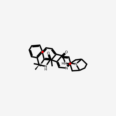 COc1cccc(C(=O)NC2CC3CCC(C2)N3c2ccc(C(=O)N[C@@H](C)c3ccccc3)cn2)c1C